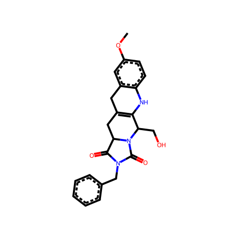 COc1ccc2c(c1)CC1=C(N2)C(CO)N2C(=O)N(Cc3ccccc3)C(=O)C2C1